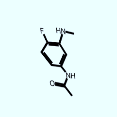 CNc1cc(NC(C)=O)ccc1F